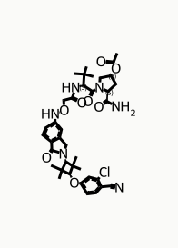 CC(=O)O[C@@H]1C[C@@H](C(N)=O)N(C(=O)[C@@H](NC(=O)CONc2ccc3c(c2)CN([C@H]2C(C)(C)[C@H](Oc4ccc(C#N)c(Cl)c4)C2(C)C)C3=O)C(C)(C)C)C1